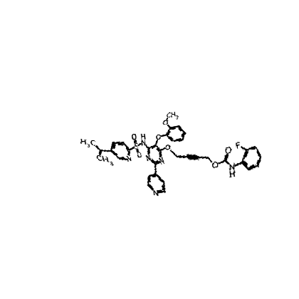 COc1ccccc1Oc1c(NS(=O)(=O)c2ccc(C(C)C)cn2)nc(-c2ccncc2)nc1OCC#CCOC(=O)Nc1ccccc1F